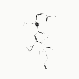 C=CCNC(=O)n1nc(-c2cc(OC)ccc2O)cc1C1CC1